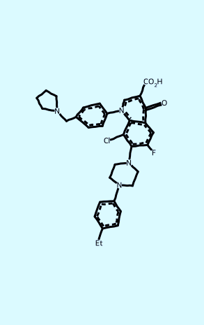 CCc1ccc(N2CCN(c3c(F)cc4c(=O)c(C(=O)O)cn(-c5ccc(CN6CCCC6)cc5)c4c3Cl)CC2)cc1